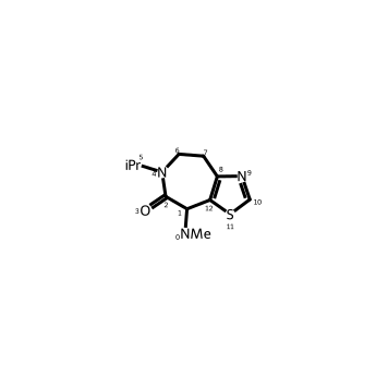 CNC1C(=O)N(C(C)C)CCc2ncsc21